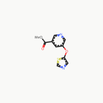 COC(=O)c1cncc(Oc2cn[c]s2)c1